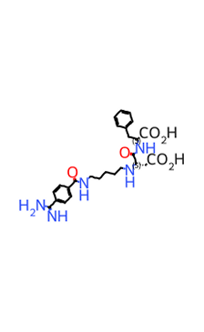 N=C(N)c1ccc(C(=O)NCCCCCN[C@@H](CC(=O)O)C(=O)N[C@@H](Cc2ccccc2)C(=O)O)cc1